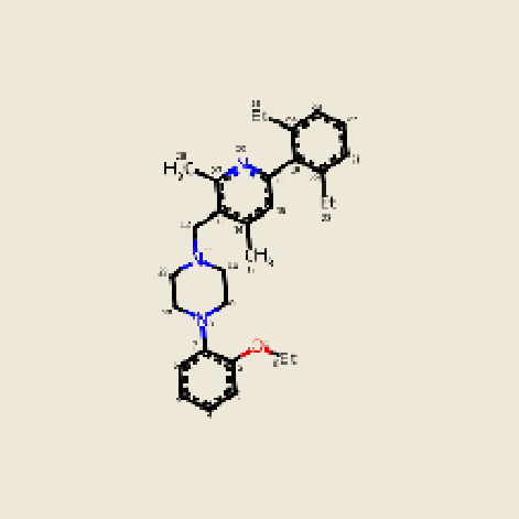 CCOc1ccccc1N1CCN(Cc2c(C)cc(-c3c(CC)cccc3CC)nc2C)CC1